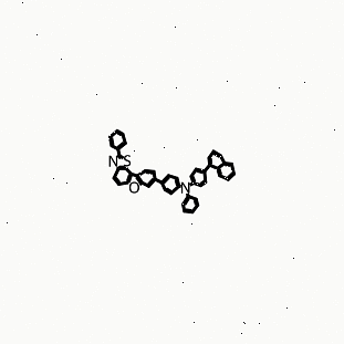 c1ccc(-c2nc3ccc4oc5cc(-c6ccc(N(c7ccccc7)c7ccc(-c8cccc9ccccc89)cc7)cc6)ccc5c4c3s2)cc1